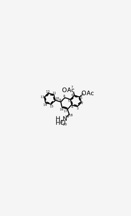 CC(=O)Oc1ccc2c(c1OC(C)=O)CC(c1ccccc1)C=C2CN.Cl